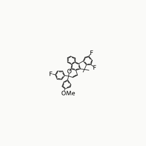 COc1ccc(C2(c3ccc(F)cc3)C=Cc3c4c(c5ccccc5c3O2)-c2cc(F)cc(F)c2C4(C)C)cc1